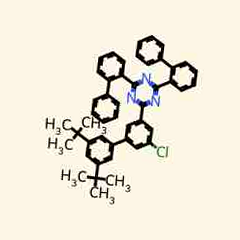 CC(C)(C)c1cc(-c2cc(Cl)cc(-c3nc(-c4ccccc4-c4ccccc4)nc(-c4ccccc4-c4ccccc4)n3)c2)cc(C(C)(C)C)c1